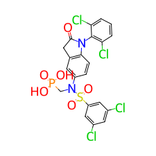 O=C1Cc2cc(N(CP(=O)(O)O)S(=O)(=O)c3cc(Cl)cc(Cl)c3)ccc2N1c1c(Cl)cccc1Cl